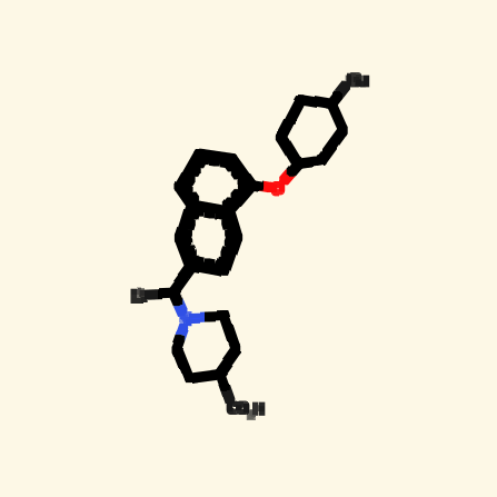 CCC(c1ccc2c(OC3CCC(C(C)(C)C)CC3)cccc2c1)N1CCC(C(=O)O)CC1